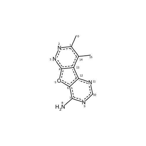 Cc1nnc2oc3c(N)ncnc3c2c1C